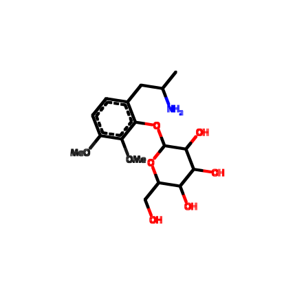 COc1ccc(CC(C)N)c(OC2OC(CO)C(O)C(O)C2O)c1OC